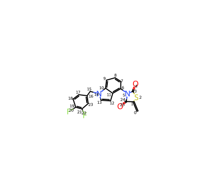 C=C1SC(=O)N(c2cccc3c2ccn3Cc2ccc(F)c(F)c2)C1=O